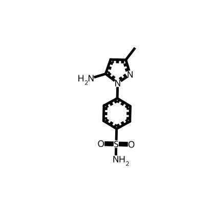 Cc1cc(N)n(-c2ccc(S(N)(=O)=O)cc2)n1